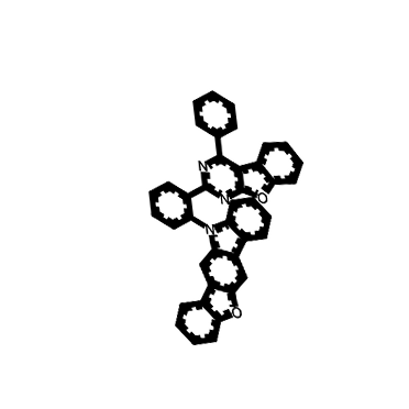 c1ccc(-c2nc(-c3ccccc3-n3c4ccccc4c4cc5oc6ccccc6c5cc43)nc3oc4ccccc4c23)cc1